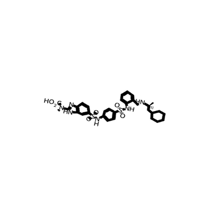 C[C@@H](CC1CCCCC1)NCc1ccccc1NS(=O)(=O)c1ccc(NS(=O)(=O)c2ccc3nc(N(C)C(=O)O)[nH]c3c2)cc1